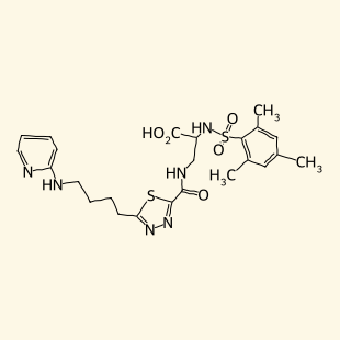 Cc1cc(C)c(S(=O)(=O)NC(CNC(=O)c2nnc(CCCCNc3ccccn3)s2)C(=O)O)c(C)c1